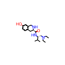 CCN(CC)C[C@@H](NC(=O)[C@H]1Cc2ccc(O)cc2CN1)C(C)C